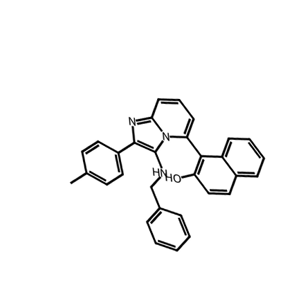 Cc1ccc(-c2nc3cccc(-c4c(O)ccc5ccccc45)n3c2NCc2ccccc2)cc1